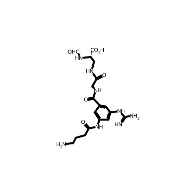 N=C(N)Nc1cc(NC(=O)CCCN)cc(C(=O)NCC(=O)NC[C@H](NC=O)C(=O)O)c1